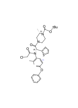 C=C(/C=C\C(=C(C)C)N(C(=O)CCl)[C@H](C(=O)N1CCN(C(=O)OC(C)(C)C)[C@@H](C)C1)c1cccs1)Oc1ccccc1